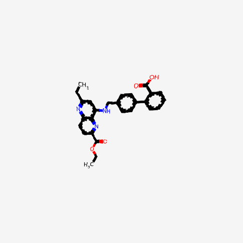 CCOC(=O)c1ccc2nc(CC)cc(NCc3ccc(-c4ccccc4C(=O)O)cc3)c2n1